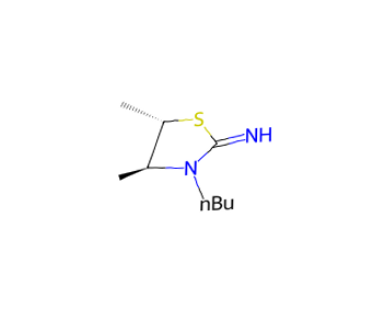 CCCCN1C(=N)S[C@@H](C)[C@@H]1C